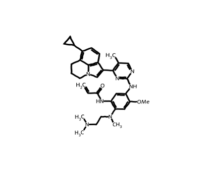 C=CC(=O)Nc1cc(Nc2ncc(C)c(-c3cn4c5c(c(C6CC6)ccc35)CCC4)n2)c(OC)cc1N(C)CCN(C)C